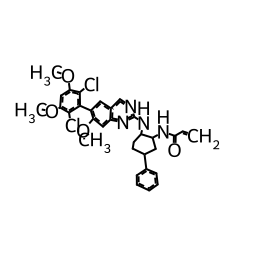 C=CC(=O)NC1CC(c2ccccc2)CCC1Nc1ncc2cc(-c3c(Cl)c(OC)cc(OC)c3Cl)c(OC)cc2n1